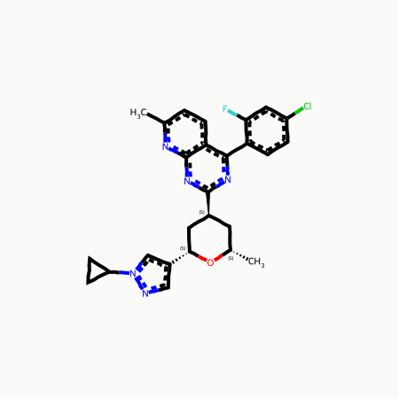 Cc1ccc2c(-c3ccc(Cl)cc3F)nc([C@@H]3C[C@@H](c4cnn(C5CC5)c4)O[C@@H](C)C3)nc2n1